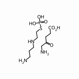 NCC(=O)CCC(=O)O.NCCCNCCSP(=O)(O)O